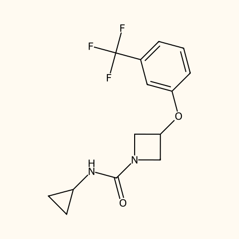 O=C(NC1CC1)N1CC(Oc2cccc(C(F)(F)F)c2)C1